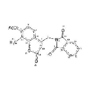 CC(=O)Oc1ccc2c(CN3C(=O)c4ccccc4C3=O)cc(=O)oc2c1C